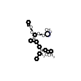 C=C1/C=C\C=C/CC(OCCOc2cc(OCCOC3Cc4ccccc43)cc(-n3c4ccccc4c4cc(-c5ccc(N(c6ccc(-c7ccccc7)cc6)c6ccc7c(c6)C(C)(C)c6ccccc6-7)cc5)ccc43)c2)C1